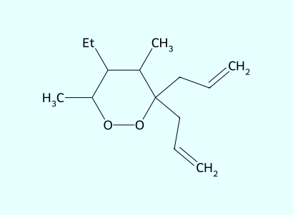 C=CCC1(CC=C)OOC(C)C(CC)C1C